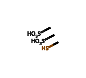 CS.CS(=O)(=O)O.CS(=O)(=O)O